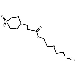 COCCOCCOC(=O)CCN1CCS(=O)(=O)CC1